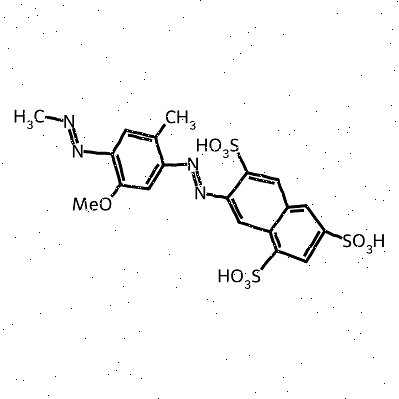 CN=Nc1cc(C)c(N=Nc2cc3c(S(=O)(=O)O)cc(S(=O)(=O)O)cc3cc2S(=O)(=O)O)cc1OC